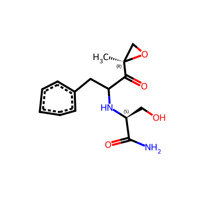 C[C@]1(C(=O)C(Cc2ccccc2)N[C@@H](CO)C(N)=O)CO1